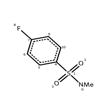 CNS(=O)(=O)c1ccc(F)cc1